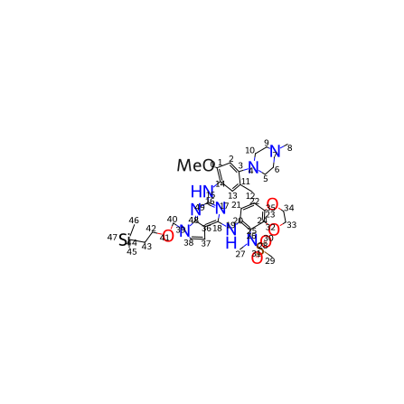 COc1cc(N2CCN(C)CC2)c(C)cc1Nc1nc(Nc2ccc3c(c2N(C)S(C)(=O)=O)OCCO3)c2ccn(COCC[Si](C)(C)C)c2n1